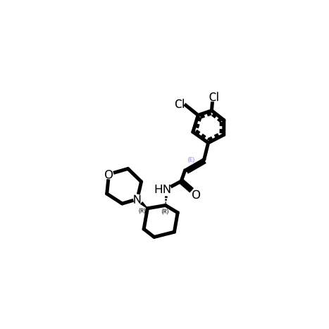 O=C(/C=C/c1ccc(Cl)c(Cl)c1)N[C@@H]1CCCC[C@H]1N1CCOCC1